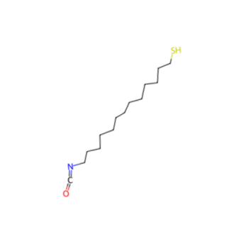 O=C=NCCCCCCCCCCCCCS